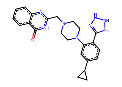 O=c1[nH]c(CN2CCN(c3cc(C4CC4)ccc3C3=NNNN3)CC2)nc2ccccc12